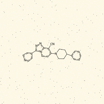 N#Cc1c(N2CCC(c3ccccc3)CC2)ccn2c(-c3ccncc3)nnc12